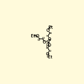 CCOCCO[SiH](OCCOCC)OCCOCC